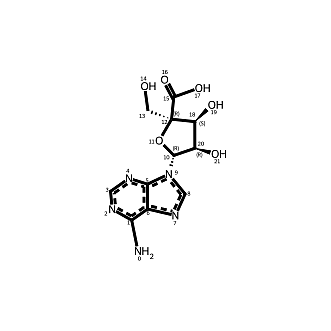 Nc1ncnc2c1ncn2[C@@H]1O[C@@](CO)(C(=O)O)[C@@H](O)[C@H]1O